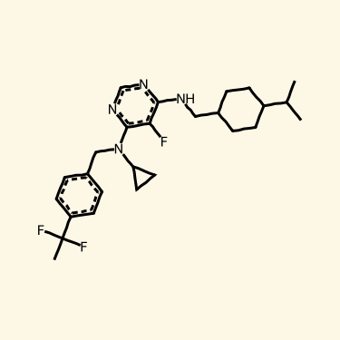 CC(C)C1CCC(CNc2ncnc(N(Cc3ccc(C(C)(F)F)cc3)C3CC3)c2F)CC1